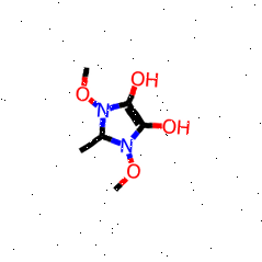 CON1C(O)=C(O)N(OC)C1C